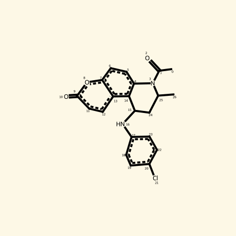 CC(=O)N1c2ccc3oc(=O)ccc3c2C(Nc2ccc(Cl)cc2)CC1C